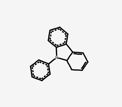 C1=CCC2C(=C1)c1ccccc1N2c1ccccc1